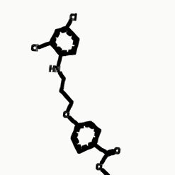 COC(=O)c1ccc(OCCCNc2ccc(Cl)cc2Cl)cc1